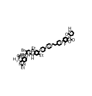 CCOc1cc(N2CCC(N3CCN(CCC4CCN(c5ccc6c(oc(=O)n6C6CCCNC6=O)c5F)CC4)CC3)CC2)c(CC)cc1Nc1ncc(Br)c(Nc2ccc3nc(CC)ncc3c2P(C)(C)=O)n1